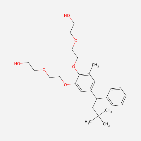 Cc1cc(C(CC(C)(C)C)c2ccccc2)cc(OCCOCCO)c1OCCOCCO